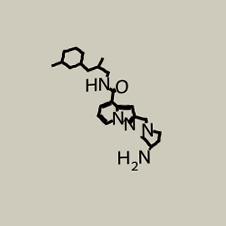 CC1CCCC(CC(C)CNC(=O)c2cccn3nc(CN4CC[C@@H](N)C4)cc23)C1